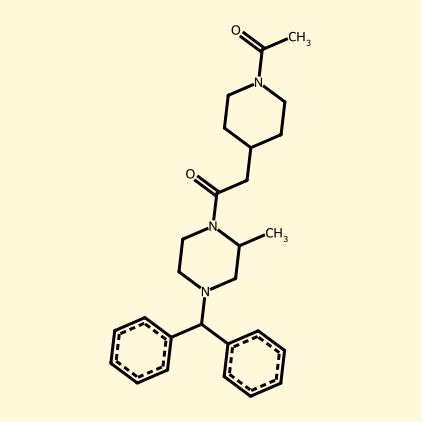 CC(=O)N1CCC(CC(=O)N2CCN(C(c3ccccc3)c3ccccc3)CC2C)CC1